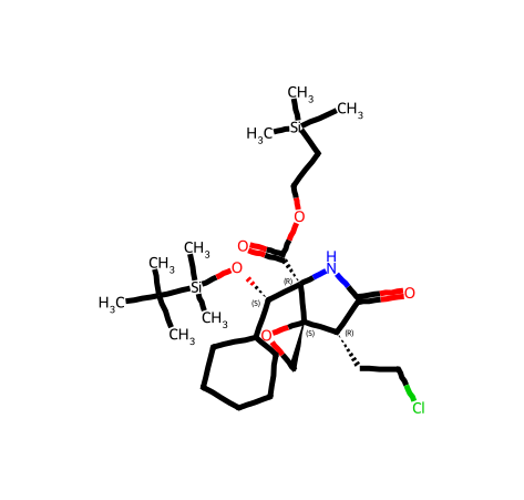 CC(C)(C)[Si](C)(C)O[C@@H](C1CCCCC1)[C@@]1(C(=O)OCC[Si](C)(C)C)NC(=O)[C@H](CCCl)[C@@]12CO2